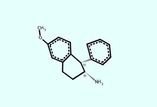 COc1ccc2c(c1)CC[C@@H](N)[C@H]2c1ccccc1